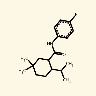 CC(C)C1CCC(C)(C)CC1C(=O)Nc1ccc(F)cc1